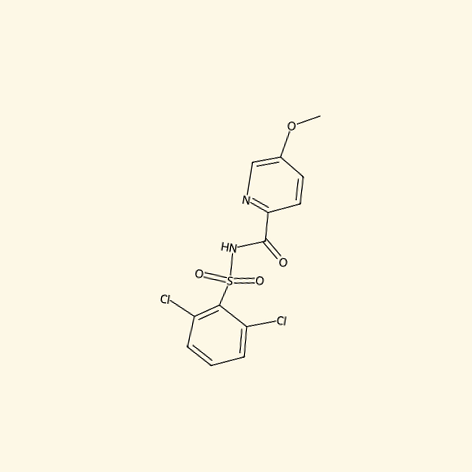 COc1ccc(C(=O)NS(=O)(=O)c2c(Cl)cccc2Cl)nc1